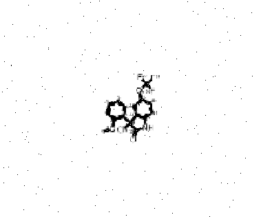 COc1ccccc1C1(Cl)C(=O)Nc2ccc(OC(F)(F)F)cc21